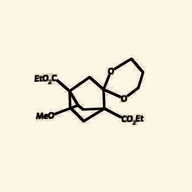 CCOC(=O)C12CCC(C(=O)OCC)(CC1OC)C1(C2)OCCCO1